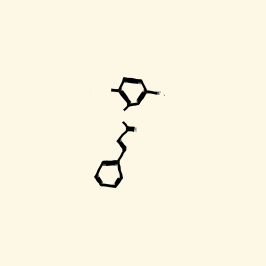 Cc1ccc(N=O)cc1OC(=O)C=Cc1ccccc1